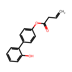 C=CCC(=O)Oc1ccc(-c2ccccc2O)cc1